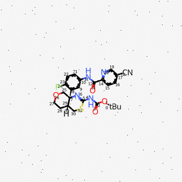 CC(C)(C)OC(=O)NC1=N[C@@]2(c3cc(NC(=O)c4ccc(C#N)cn4)ccc3F)COCC[C@H]2CS1